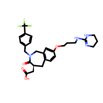 O=C(O)C[C@@H]1Cc2ccc(OCCCNC3=NCCCN3)cc2CN(Cc2ccc(C(F)(F)F)cc2)C1=O